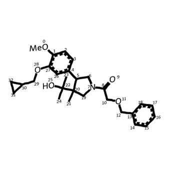 COc1ccc(C2CN(C(=O)COCc3ccccc3)CC2(C)C(C)(C)O)cc1OCC1CC1